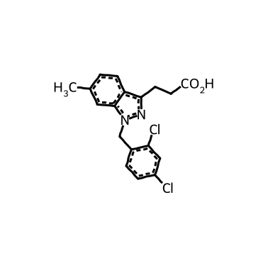 Cc1ccc2c(CCC(=O)O)nn(Cc3ccc(Cl)cc3Cl)c2c1